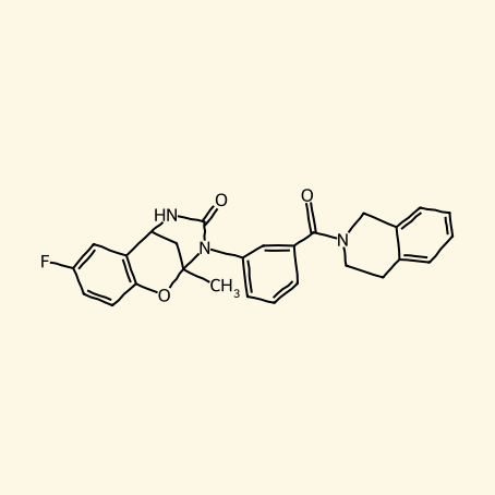 CC12CC(NC(=O)N1c1cccc(C(=O)N3CCc4ccccc4C3)c1)c1cc(F)ccc1O2